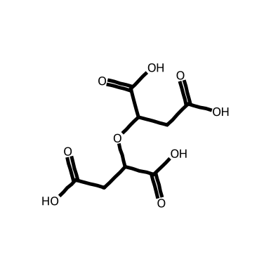 O=C(O)CC(OC(CC(=O)O)C(=O)O)C(=O)O